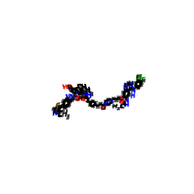 C=CC(=O)Nc1cc2c(Nc3ccc(F)c(Cl)c3)ncnc2cc1OCCCN1CCN(C(=O)CCc2ccc(CCC(=O)NC(C(=O)N3C[C@H](O)C[C@H]3C(=O)NCc3ccc(-c4scnc4C)cc3)C(C)(C)C)cc2)CC1